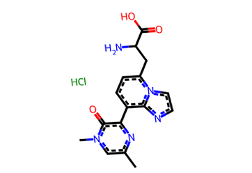 Cc1cn(C)c(=O)c(-c2ccc(CC(N)C(=O)O)n3ccnc23)n1.Cl